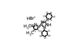 Br.Cc1cn(N2N=C(c3ccccc3)NN2c2ccccc2)nc1C